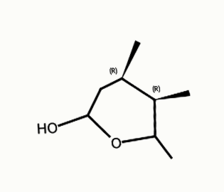 CC1OC(O)C[C@@H](C)[C@H]1C